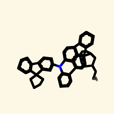 CCC1CC2CCCC(C1)C21c2ccccc2-c2ccc(N(c3ccc4c(c3)C3(CCCC3)c3ccccc3-4)c3ccccc3-c3ccccc3)cc21